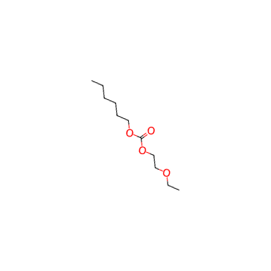 CCCCCCOC(=O)OCCOCC